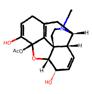 CC(=O)OC12O[C@H]3[C@@H](O)C=C[C@H]4[C@H]5CC(=C1[C@]43CCN5C)CC=C2O